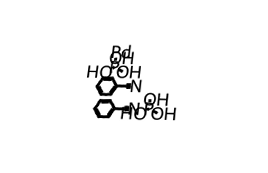 N#Cc1ccccc1.N#Cc1ccccc1.OP(O)O.OP(O)O.[Pd]